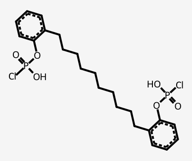 O=P(O)(Cl)Oc1ccccc1CCCCCCCCCCc1ccccc1OP(=O)(O)Cl